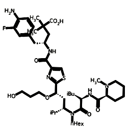 CCCCCCN(C(=O)[C@H](NC(=O)[C@@H]1CCCCN1C)[C@H](C)CC)[C@@H](C[C@H](OCCCO)c1nc(C(=O)N[C@H](Cc2ccc(N)c(F)c2)CC(C)(C)C(=O)O)cs1)C(C)C